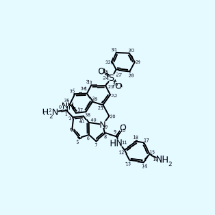 N=C(N)c1ccc2cc(C(=O)Nc3ccc(N)cc3)n(Cc3cc(S(=O)(=O)c4ccccc4)cc4ccccc34)c2c1